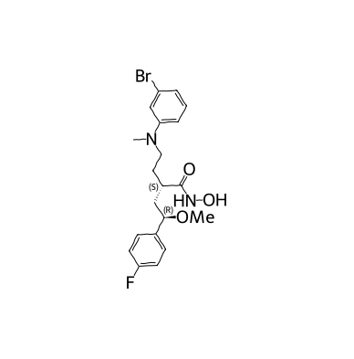 CO[C@H](C[C@H](CCN(C)c1cccc(Br)c1)C(=O)NO)c1ccc(F)cc1